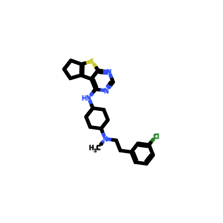 CN(CCc1cccc(Cl)c1)C1CCC(Nc2ncnc3sc4c(c23)CCC4)CC1